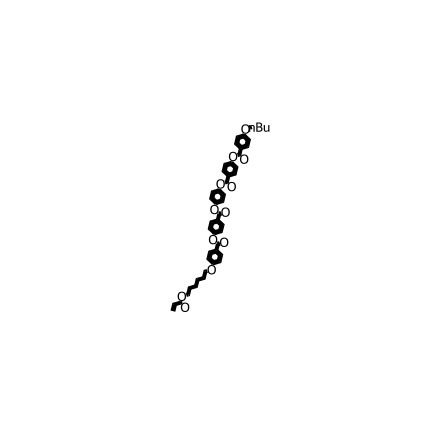 C=CC(=O)OCCCCCCOc1ccc(C(=O)Oc2ccc(C(=O)Oc3ccc(OC(=O)c4ccc(OC(=O)c5ccc(OCCCC)cc5)cc4)cc3)cc2)cc1